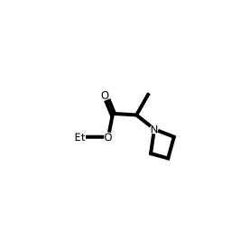 CCOC(=O)C(C)N1CCC1